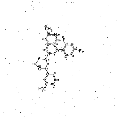 Cc1cc([C@@H]2CN(c3cc(-c4ccc(F)cc4F)c4cnc(C)nc4c3)CCO2)ccn1